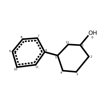 OC1CCCC(c2cc[c]cc2)C1